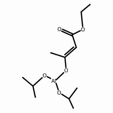 CCOC(=O)/C=C(\C)[O][Al]([O]C(C)C)[O]C(C)C